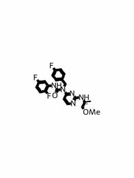 COC[C@H](C)Nc1nccc(N(Cc2ccc(F)cc2)C(=O)Nc2cc(F)ccc2F)n1